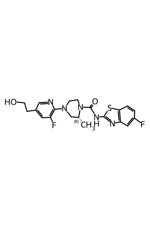 C[C@@H]1CN(c2ncc(CCO)cc2F)CCN1C(=O)Nc1nc2cc(F)ccc2s1